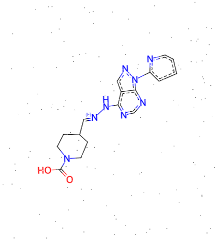 O=C(O)N1CCC(/C=N/Nc2ncnc3c2cnn3-c2ccccn2)CC1